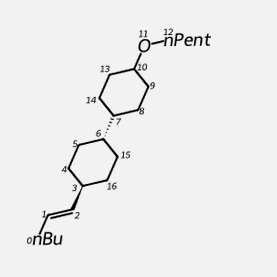 CCCC/C=C/[C@H]1CC[C@H](C2CCC(OCCCCC)CC2)CC1